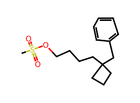 CS(=O)(=O)OCCCCC1(Cc2ccccc2)CCC1